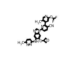 Cc1ccc(Nc2cc3ncn(-c4ccc(C#N)c(-c5cc(OC(F)F)ncc5C)n4)c3cc2OC2COC2)nn1